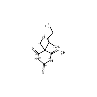 CCCC(C)C1(CC)C(=O)NC(=O)NC1=O.Cl